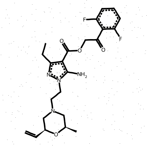 C=C[C@H]1CN(CCn2nc(CC)c(C(=O)OCC(=O)c3c(F)cccc3F)c2N)C[C@@H](C)O1